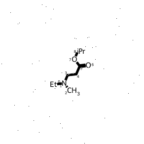 CCN(C)CCC(=O)OC(C)C